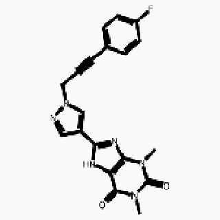 Cn1c(=O)c2[nH]c(-c3cnn(CC#Cc4ccc(F)cc4)c3)nc2n(C)c1=O